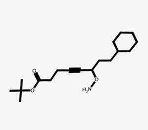 CC(C)(C)OC(=O)CCC#CC(CCC1CCCCC1)ON